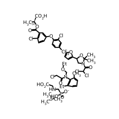 CC1(C)OC(c2ccco2)CN1C(=O)C(Cl)Cl.CCOCN(C(=O)CCl)c1c(C)cccc1CC.C[C@H](OC(=O)c1cc(Oc2ccc(C(F)(F)F)cc2Cl)ccc1Cl)C(=O)O.C[S+](C)C.O=C(O)CNCP(=O)([O-])O